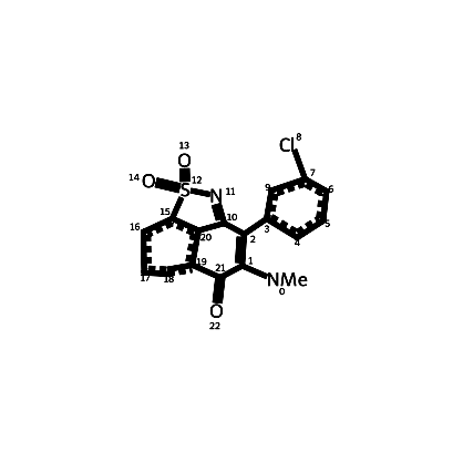 CNC1=C(c2cccc(Cl)c2)C2=NS(=O)(=O)c3cccc(c32)C1=O